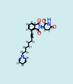 O=C1CCC(N2C(=O)c3cccc(C#CCCCCCCN4CCCCC4)c3C2=O)C(=O)N1